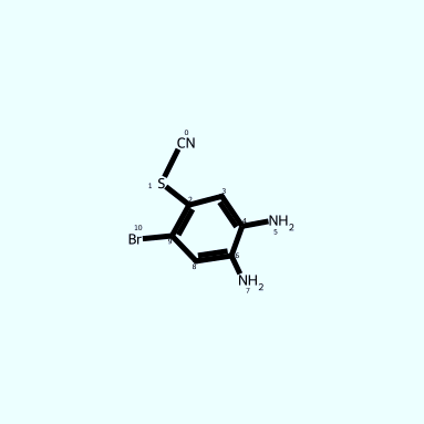 N#CSc1cc(N)c(N)cc1Br